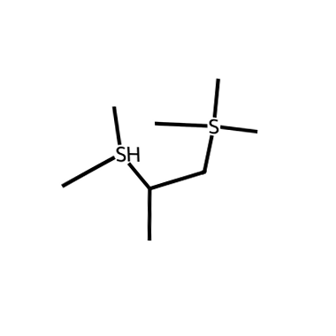 CC(CS(C)(C)C)[SH](C)C